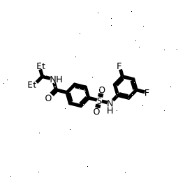 CCC(CC)NC(=O)c1ccc(S(=O)(=O)Nc2cc(F)cc(F)c2)cc1